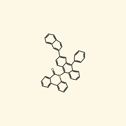 O=c1c2ccccc2c2ccccc2n1-c1c2ccccc2c(-c2ccccc2)c2cc(-c3ccc4ccccc4c3)ccc12